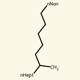 [CH2]C(CCCCCCC)CCCCCCCCCCCCCC